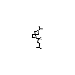 CC(C)CCC(=O)N1CCC12CN(C(C)C)C2